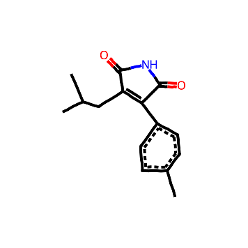 Cc1ccc(C2=C(CC(C)C)C(=O)NC2=O)cc1